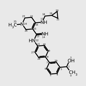 CC(O)c1cccc(-c2ccc(NC(=N)C3=C(NCC4CC4)CCN(C)C3)cc2)c1